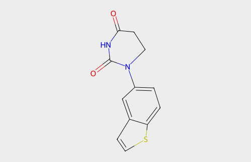 O=C1CCN(c2ccc3sccc3c2)C(=O)N1